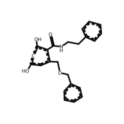 O=C(NCCc1ccccc1)c1c(O)cc(O)cc1COCc1ccccc1